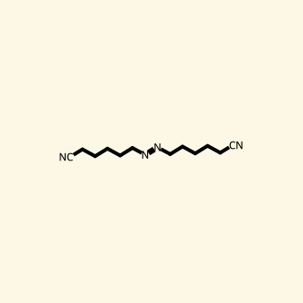 N#CCCCCCN=NCCCCCC#N